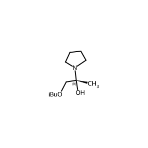 CC(C)COC[C@@](C)(O)N1CCCC1